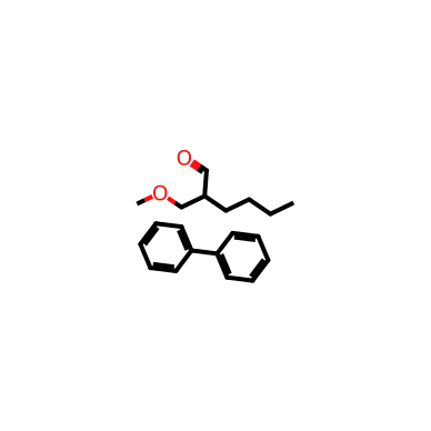 CCCCC(C=O)COC.c1ccc(-c2ccccc2)cc1